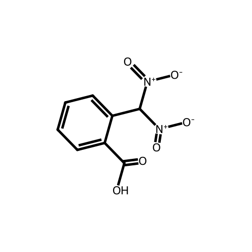 O=C(O)c1ccccc1C([N+](=O)[O-])[N+](=O)[O-]